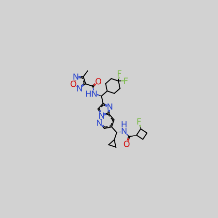 Cc1nonc1C(=O)N[C@H](c1cn2ncc([C@H](NC(=O)[C@@H]3CC[C@@H]3F)C3CC3)cc2n1)C1CCC(F)(F)CC1